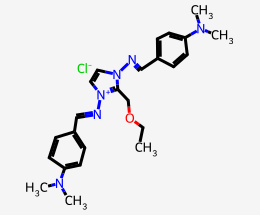 CCOCc1n(N=Cc2ccc(N(C)C)cc2)cc[n+]1N=Cc1ccc(N(C)C)cc1.[Cl-]